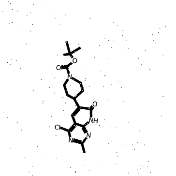 Cc1nc(Cl)c2cc(C3CCN(C(=O)OC(C)(C)C)CC3)c(=O)[nH]c2n1